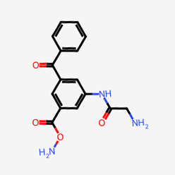 NCC(=O)Nc1cc(C(=O)ON)cc(C(=O)c2ccccc2)c1